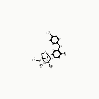 OC[C@]12CO[C@](c3ccc(Cl)c(Cc4ccc(O)cc4)c3)(C[C@@H](O)[C@@H]1O)O2